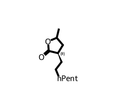 CCCCCCC[C@@H]1CC(C)OC1=O